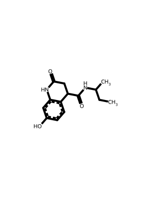 CCC(C)NC(=O)C1CC(=O)Nc2cc(O)ccc21